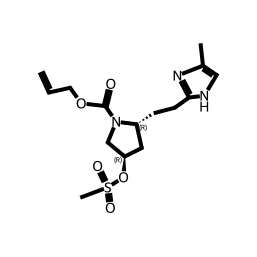 C=CCOC(=O)N1C[C@H](OS(C)(=O)=O)C[C@H]1CCc1nc(C)c[nH]1